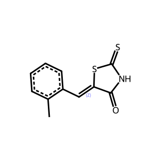 Cc1ccccc1/C=C1\SC(=S)NC1=O